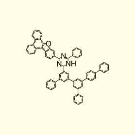 c1ccc(C2=NC(c3ccc4c(c3)oc3c5ccccc5c5ccccc5c43)=NC(c3cc(-c4ccccc4)cc(-c4cc(-c5ccccc5)cc(-c5ccc(-c6ccccc6)cc5)c4)c3)N2)cc1